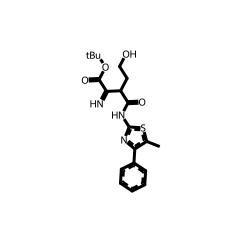 Cc1sc(NC(=O)C(CCO)C(=N)C(=O)OC(C)(C)C)nc1-c1ccccc1